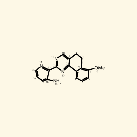 COc1cccc2c1CCc1cnc(-c3ncccc3N)nc1-2